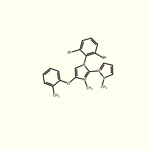 Cc1ccccc1Oc1cn(-c2c(C(C)C)cccc2C(C)C)c(-[n+]2cccn2C)[n+]1C